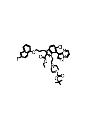 CCOC(=O)c1c(CCCOc2cccc3cc(F)ccc23)c2ccc(Cl)c(-c3cnn4cccnc34)c2n1CCN1CCN(C(=O)OC(C)(C)C)CC1